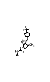 C=C1CCC(OC(=O)NC2CC2)c2nnn(Cc3ccc(C(F)(F)F)cc3)c21